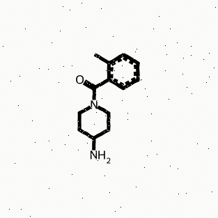 Cc1cc[c]cc1C(=O)N1CCC(N)CC1